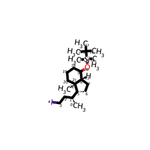 C[C@H](CCI)[C@H]1CC[C@H]2C(O[Si](C)(C)C(C)(C)C)CCC[C@]12C